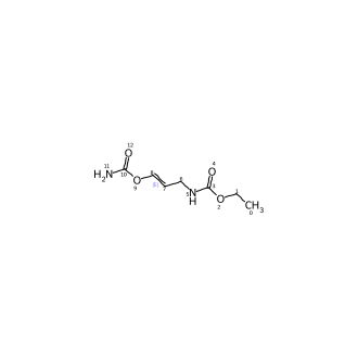 CCOC(=O)NC/C=C/OC(N)=O